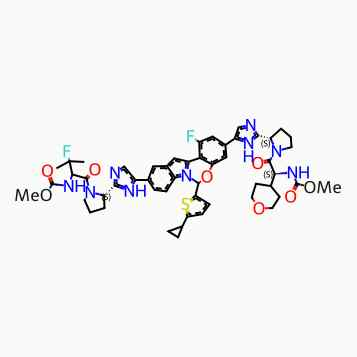 COC(=O)NC(C(=O)N1CCC[C@H]1c1ncc(-c2ccc3c(c2)cc2n3C(c3ccc(C4CC4)s3)Oc3cc(-c4cnc([C@@H]5CCCN5C(=O)[C@@H](NC(=O)OC)C5CCOCC5)[nH]4)cc(F)c3-2)[nH]1)C(C)(C)F